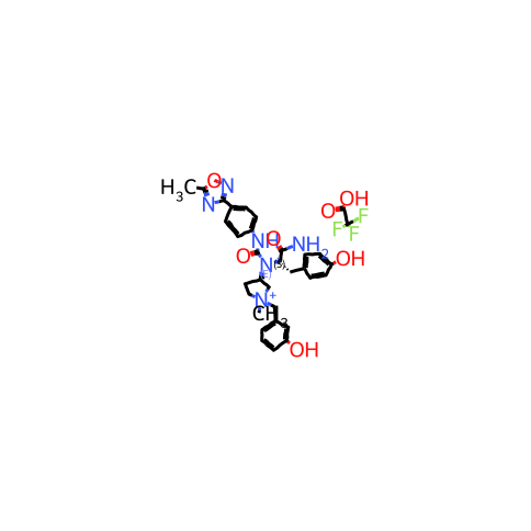 Cc1nc(-c2ccc(NC(=O)/[N+](=C3\CC[N+](C)(Cc4cccc(O)c4)C3)[C@@H](Cc3ccc(O)cc3)C(N)=O)cc2)no1.O=C(O)C(F)(F)F